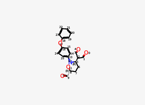 O=CC(C=O)[C@H]1CC[C@H](C=O)ON1c1ccc(Oc2ccccc2)cc1